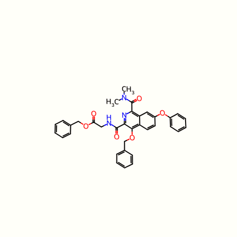 CN(C)C(=O)c1nc(C(=O)NCC(=O)OCc2ccccc2)c(OCc2ccccc2)c2ccc(Oc3ccccc3)cc12